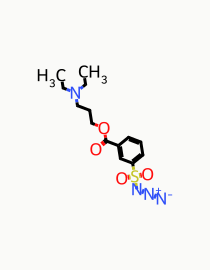 CCN(CC)CCCOC(=O)c1cccc(S(=O)(=O)N=[N+]=[N-])c1